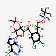 CC1(C)O[C@@H]2[C@H](O1)[C@@H](C(O)c1cc(Cl)c(Cl)cc1C(F)(F)CO[Si](C)(C)C(C)(C)C)O[C@H]2n1ccc2c(Cl)ncnc21